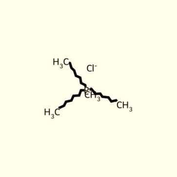 CCCCCCCC[P+](C)(CCCCCCCC)CCCCCCCC.[Cl-]